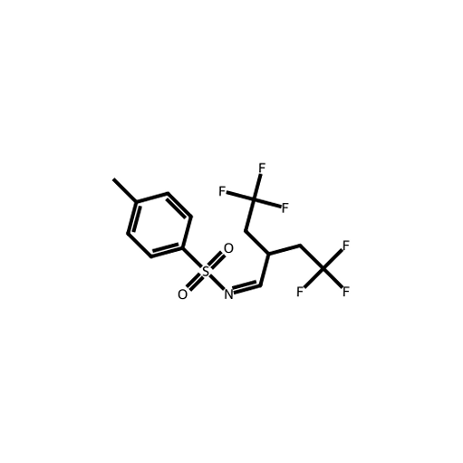 Cc1ccc(S(=O)(=O)/N=C\C(CC(F)(F)F)CC(F)(F)F)cc1